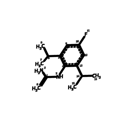 C=C(N)Nc1c(C(C)C)cc(F)cc1C(C)C